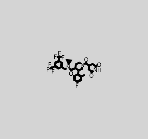 Cc1cc(F)ccc1C1CN(C(=O)C2CC(=O)NC(=O)C2)CCC1C(=O)N(Cc1cc(C(F)(F)F)cc(C(F)(F)F)c1)C1CC1